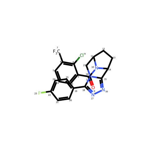 O=C(c1cccc(C(F)(F)F)c1Cl)N1C2CCC1c1nnc(-c3ccc(F)cc3)n1C2